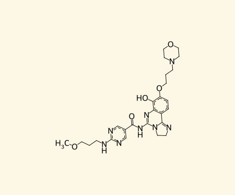 COCCCNc1ncc(C(=O)NC2=Nc3c(ccc(OCCCN4CCOCC4)c3O)C3=NCCN23)cn1